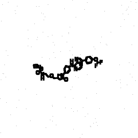 CC(C)(C)OC(=O)NCCOCC1CC(=O)N(c2ccc(Nc3nccn4c(-c5ccc(OC(F)F)cc5)cnc34)cc2)C1